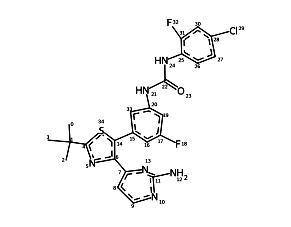 CC(C)(C)c1nc(-c2ccnc(N)n2)c(-c2cc(F)cc(NC(=O)Nc3ccc(Cl)cc3F)c2)s1